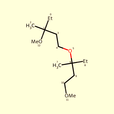 CCC(C)(CCOC(C)(CC)CCOC)OC